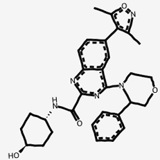 Cc1noc(C)c1-c1ccc2nc(C(=O)N[C@H]3CC[C@H](O)CC3)nc(N3CCOCC3c3ccccc3)c2c1